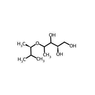 CC(O[C@H](C)C(C)C)C(O)[C@H](O)CO